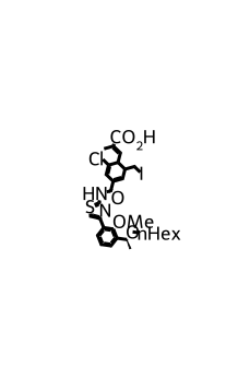 CCCCCCO[C@@H](C)c1cccc(-c2csc(NC(=O)C3=CC(CI)C(/C=C(\C)C(=O)O)C(Cl)=C3)n2)c1OC